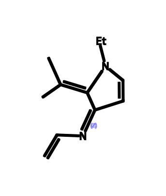 C=C/N=C1/C=CN(CC)C1=C(C)C